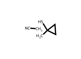 CC#N.CC1(S)CC1